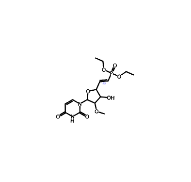 CCOP(=O)(/C=C/C1OC(n2ccc(=O)[nH]c2=O)C(OC)C1O)OCC